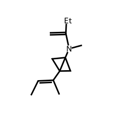 C=C(CC)N(C)C12CC1(/C(C)=C/C)C2